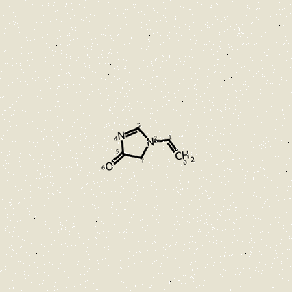 C=CN1C=NC(=O)C1